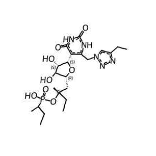 CCc1cn(Cc2[nH]c(=O)[nH]c(=O)c2[C@@H]2O[C@H](C[C@](C)(CC)OP(=O)(O)C(C)CC)C(O)[C@@H]2O)nn1